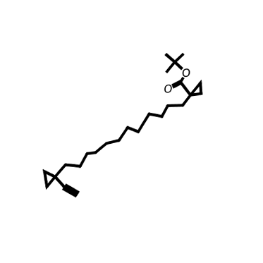 C#CC1(CCCCCCCCCCCCC2(C(=O)OC(C)(C)C)CC2)CC1